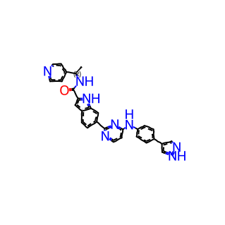 C[C@@H](NC(=O)c1cc2ccc(-c3nccc(Nc4ccc(-c5cn[nH]c5)cc4)n3)cc2[nH]1)c1ccncc1